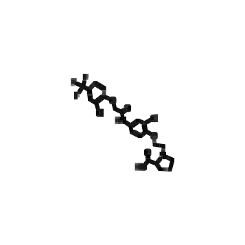 O=C(COc1ccc(C(F)(F)F)cc1Cl)Nc1ccc(OCCN2CCCC2C(=O)O)c(Cl)c1